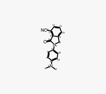 CN(C)c1ccc(N2Cc3cccc(C#N)c3C2=O)cc1